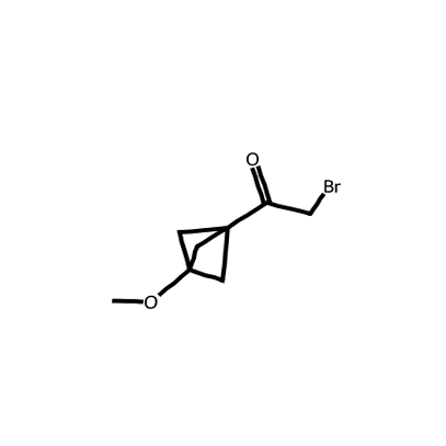 COC12CC(C(=O)CBr)(C1)C2